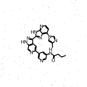 CCCC(=O)Nc1cncc(-c2cc3c(-c4nc5c(-n6cnc(C)c6)ccnc5[nH]4)n[nH]c3cn2)c1